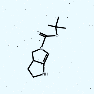 CC(C)(C)OC(=O)N1C=C2NCCC2C1